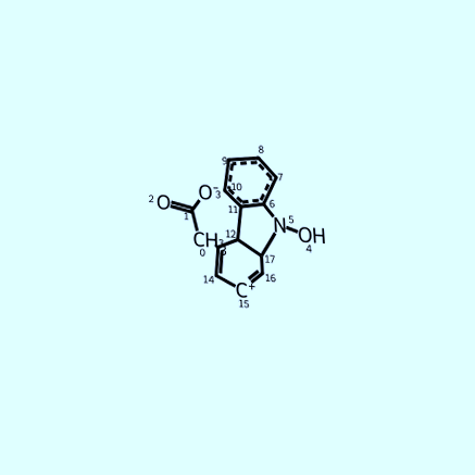 CC(=O)[O-].ON1c2ccccc2C2C=C[C+]=CC21